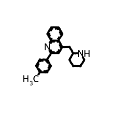 Cc1ccc(-c2cc(CC3CCCCN3)c3ccccc3n2)cc1